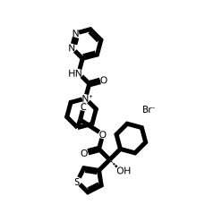 O=C(OC1C[N+]2(C(=O)Nc3cccnn3)CCC1CC2)[C@](O)(c1ccsc1)C1CCCCC1.[Br-]